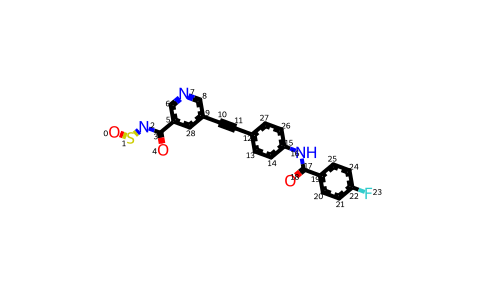 O=S=NC(=O)c1cncc(C#Cc2ccc(NC(=O)c3ccc(F)cc3)cc2)c1